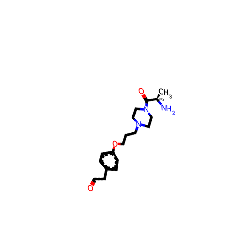 C[C@@H](N)C(=O)N1CCN(CCCOc2ccc(CC=O)cc2)CC1